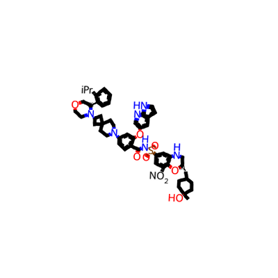 CC(C)c1ccccc1[C@@H]1COCCN1C1CC2(CCN(c3ccc(C(=O)NS(=O)(=O)c4cc5c(c([N+](=O)[O-])c4)O[C@@H](CC4CCC(C)(O)CC4)CN5)c(Oc4cnc5[nH]ccc5c4)c3)CC2)C1